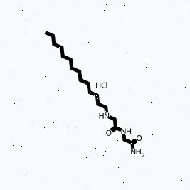 CCCCCCCCCCCCCCNCC(=O)NCC(N)=O.Cl